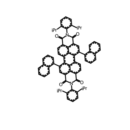 CC(C)c1cccc(C(C)C)c1N1C(=O)c2ccc3c4c(-c5cccc6ccccc56)cc5c6c(ccc(c7c(-c8cccc9ccccc89)cc(c2c37)C1=O)c64)C(=O)N(c1c(C(C)C)cccc1C(C)C)C5=O